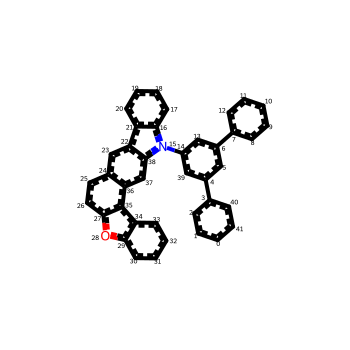 c1ccc(-c2cc(-c3ccccc3)cc(-n3c4ccccc4c4cc5ccc6oc7ccccc7c6c5cc43)c2)cc1